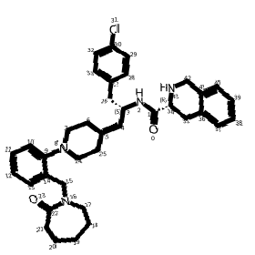 O=C(N[C@H](C=C1CCN(c2ccccc2CN2CCCCCC2=O)CC1)Cc1ccc(Cl)cc1)[C@H]1Cc2ccccc2CN1